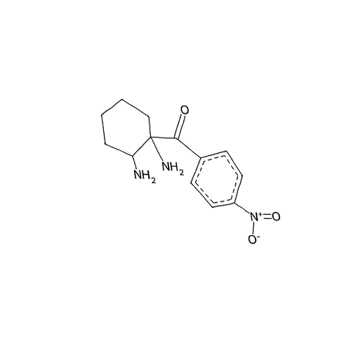 NC1CCCCC1(N)C(=O)c1ccc([N+](=O)[O-])cc1